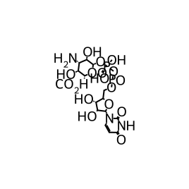 N[C@@H]1[C@@H](O)[C@@H](OP(=O)(O)OP(=O)(O)OCC2O[C@@H](n3ccc(=O)[nH]c3=O)[C@H](O)[C@@H]2O)O[C@H](C(=O)O)[C@H]1O